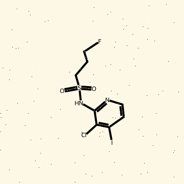 O=S(=O)(CCCF)Nc1nccc(I)c1Cl